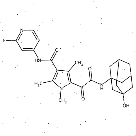 Cc1c(C(=O)Nc2ccnc(F)c2)c(C)n(C)c1C(=O)C(=O)NC12CC3CC(CC(O)(C3)C1)C2